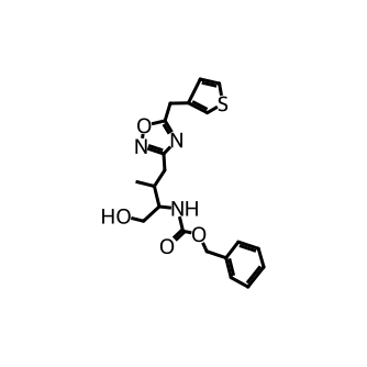 CC(Cc1noc(Cc2ccsc2)n1)C(CO)NC(=O)OCc1ccccc1